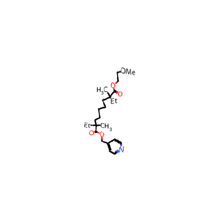 CCC(C)(CCCCCC(C)(CC)C(=O)OCc1ccncc1)C(=O)OCCOC